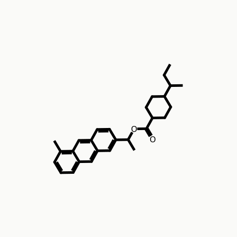 CCC(C)C1CCC(C(=O)OC(C)c2ccc3cc4c(C)cccc4cc3c2)CC1